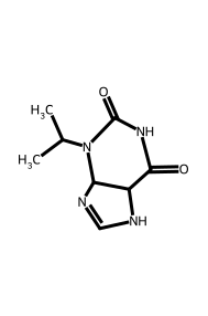 CC(C)N1C(=O)NC(=O)C2NC=NC21